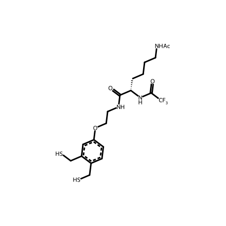 CC(=O)NCCCC[C@H](NC(=O)C(F)(F)F)C(=O)NCCOc1ccc(CS)c(CS)c1